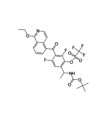 CCOc1nccc2c(C(=O)c3c(F)cc(C(C)NC(=O)OC(C)(C)C)c(OS(=O)(=O)C(F)(F)F)c3F)cccc12